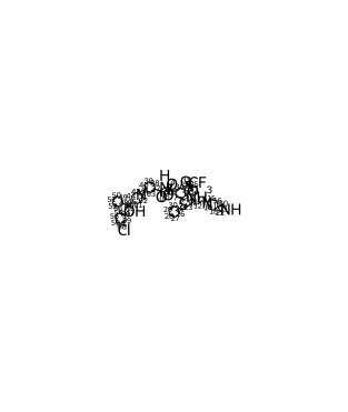 O=C(NS(=O)(=O)c1ccc(N[C@H](CCN2CCC3(CC2)CNC3)CSc2ccccc2)c(S(=O)(=O)C(F)(F)F)c1)c1cccc(N2CCC([C@@H](O)c3ccccc3-c3ccc(Cl)cc3)CC2)c1